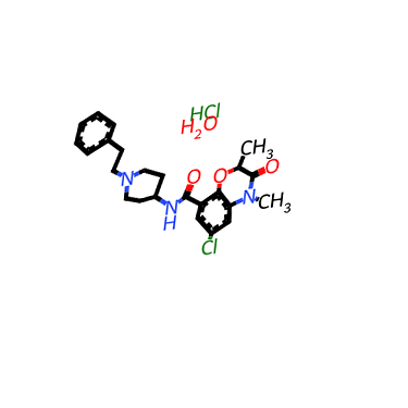 CC1Oc2c(C(=O)NC3CCN(CCc4ccccc4)CC3)cc(Cl)cc2N(C)C1=O.Cl.O